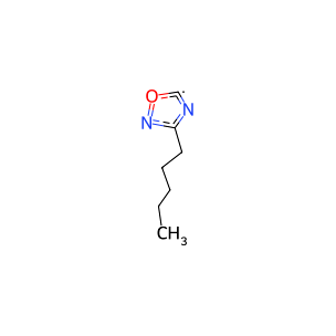 CCCCCc1n[c]on1